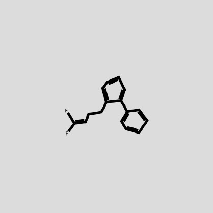 FC(F)=CCCc1ccccc1-c1ccccc1